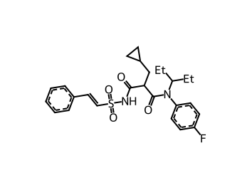 CCC(CC)N(C(=O)C(CC1CC1)C(=O)NS(=O)(=O)C=Cc1ccccc1)c1ccc(F)cc1